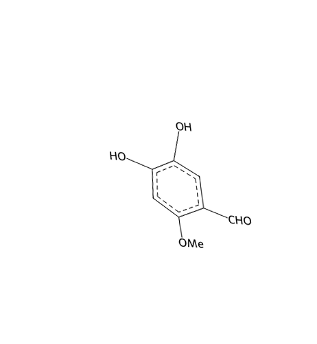 COc1cc(O)c(O)cc1C=O